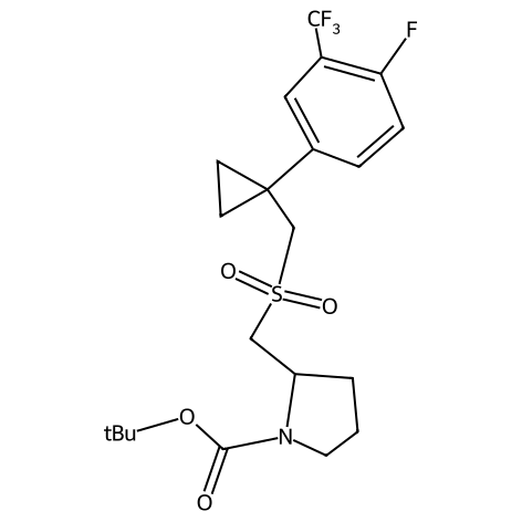 CC(C)(C)OC(=O)N1CCCC1CS(=O)(=O)CC1(c2ccc(F)c(C(F)(F)F)c2)CC1